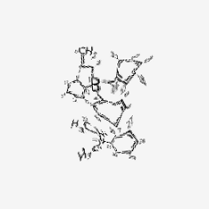 C=CC[B-](c1ccccc1)(c1ccccc1)c1ccccc1.C[NH+](C)c1ccccc1